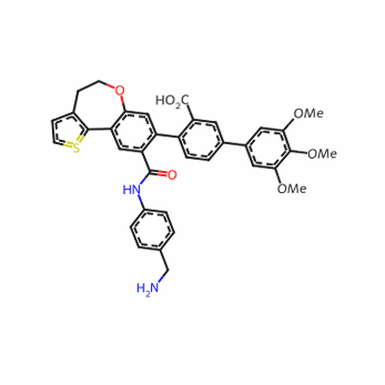 COc1cc(-c2ccc(-c3cc4c(cc3C(=O)Nc3ccc(CN)cc3)-c3sccc3CCO4)c(C(=O)O)c2)cc(OC)c1OC